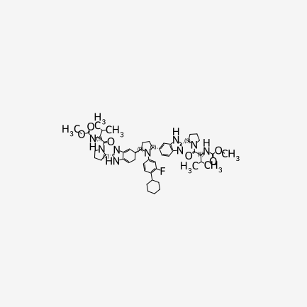 COC(=O)N[C@H](C(=O)N1CCC[C@H]1c1nc2c([nH]1)=CCC([C@H]1CC[C@H](c3ccc4nc([C@@H]5CCCN5C(=O)[C@@H](NC(=O)OC)C(C)C)[nH]c4c3)N1c1ccc(C3CCCCC3)c(F)c1)C=2)C(C)C